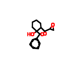 O=C(C1CO1)C1CCCCC1(O)C(=O)c1ccccc1